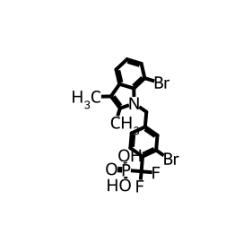 Cc1c(C)n(Cc2ccc(C(F)(F)P(=O)(O)O)c(Br)c2)c2c(Br)cccc12